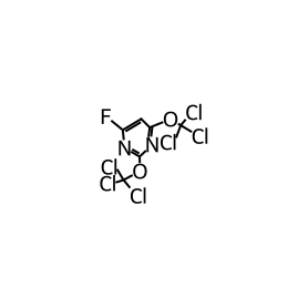 Fc1cc(OC(Cl)(Cl)Cl)nc(OC(Cl)(Cl)Cl)n1